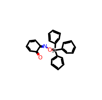 O=C1C=CC=CC1=NO[Si](c1ccccc1)(c1ccccc1)c1ccccc1